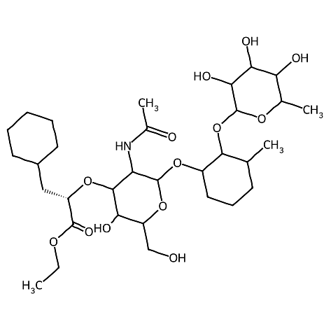 CCOC(=O)[C@H](CC1CCCCC1)OC1C(O)C(CO)OC(OC2CCCC(C)C2OC2OC(C)C(O)C(O)C2O)C1NC(C)=O